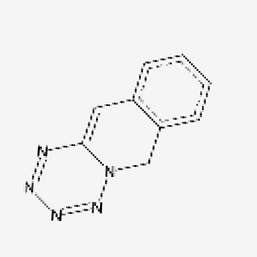 C1=C2N=NN=NN2Cc2ccccc21